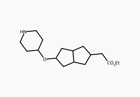 CCOC(=O)CC1CC2CC(OC3CCNCC3)CC2C1